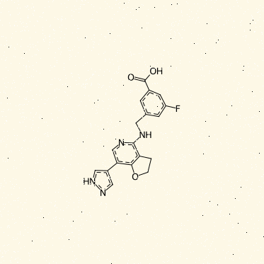 O=C(O)c1cc(F)cc(CNc2ncc(-c3cn[nH]c3)c3c2CCO3)c1